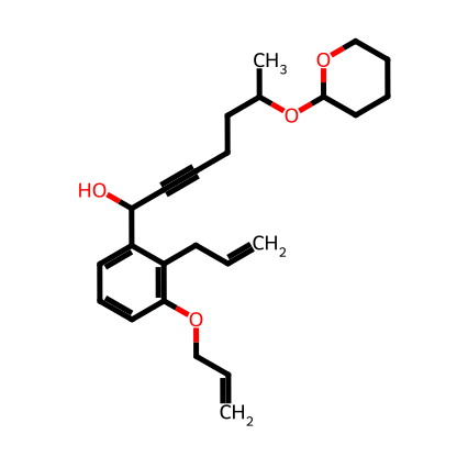 C=CCOc1cccc(C(O)C#CCCC(C)OC2CCCCO2)c1CC=C